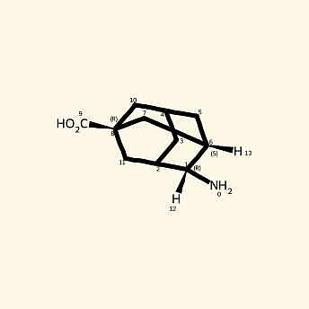 N[C@@H]1C2CC3C[C@H]1C[C@@](C(=O)O)(C3)C2